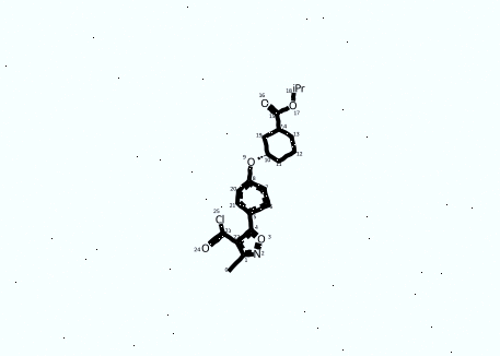 Cc1noc(-c2ccc(O[C@H]3CCCC(C(=O)OC(C)C)C3)cc2)c1C(=O)Cl